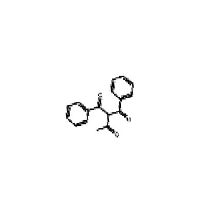 CC(=O)C(C(=O)c1ccccc1)C(=O)c1ccccc1